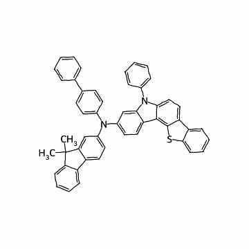 CC1(C)c2ccccc2-c2ccc(N(c3ccc(-c4ccccc4)cc3)c3ccc4c5c6sc7ccccc7c6ccc5n(-c5ccccc5)c4c3)cc21